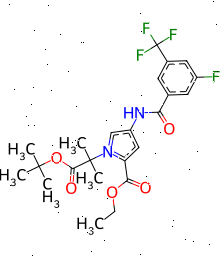 CCOC(=O)c1cc(NC(=O)c2cc(F)cc(C(F)(F)F)c2)cn1C(C)(C)C(=O)OC(C)(C)C